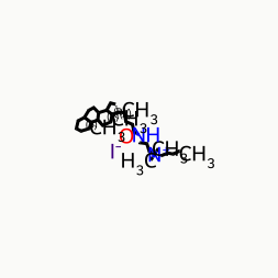 CCCCC[N+](C)(C)CCCNC(=O)CC[C@@H](C)[C@H]1CCC2C3CCC4CCCC[C@]4(C)C3CC[C@@]21C.[I-]